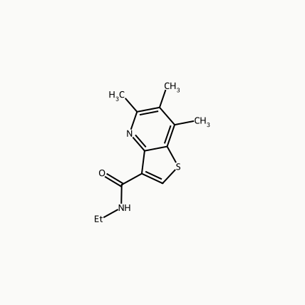 CCNC(=O)c1csc2c(C)c(C)c(C)nc12